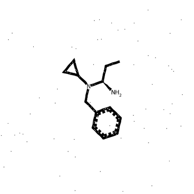 CC[C@@H](N)N(Cc1ccccc1)C1CC1